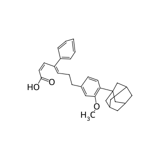 COc1cc(CC/C=C(/C=C\C(=O)O)c2ccccc2)ccc1C12CC3CC(CC(C3)C1)C2